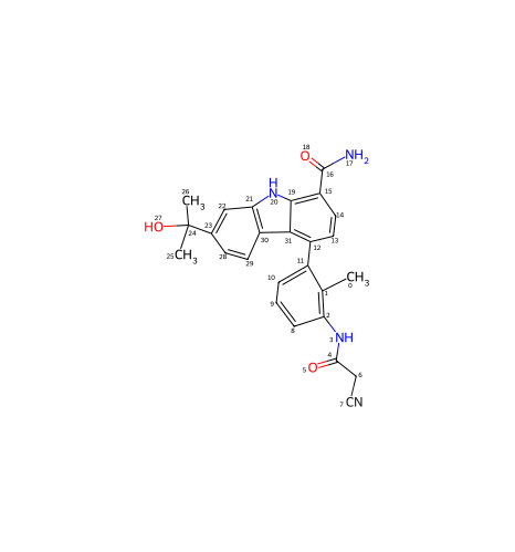 Cc1c(NC(=O)CC#N)cccc1-c1ccc(C(N)=O)c2[nH]c3cc(C(C)(C)O)ccc3c12